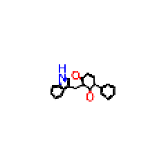 O=C1C=CC(c2ccccc2)C(=O)C1Cc1c[nH]c2ccccc12